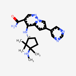 CNC1(C)CC[C@@H](Nc2c(C(N)=O)cnn3cc(-c4cncnc4)cc23)C1(C)C